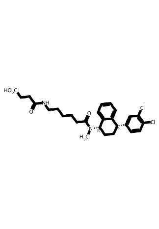 CN(C(=O)CCCCCNC(=O)CCC(=O)O)[C@H]1CC[C@@H](c2ccc(Cl)c(Cl)c2)c2ccccc21